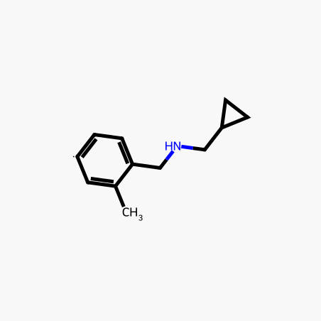 Cc1c[c]ccc1CNCC1CC1